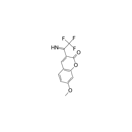 COc1ccc2cc(C(=N)C(F)(F)F)c(=O)oc2c1